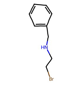 BrCCNCc1ccccc1